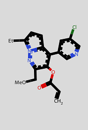 C=CC(=O)Oc1c(COC)nn2c(CC)ccc2c1-c1cncc(Cl)c1